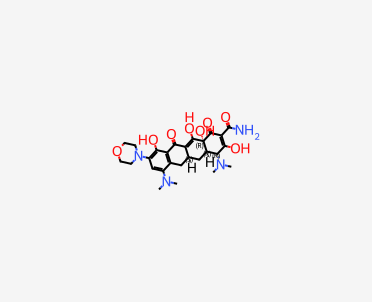 CN(C)c1cc(N2CCOCC2)c(O)c2c1C[C@@H]1C[C@@H]3[C@@H](N(C)C)C(O)=C(C(N)=O)C(=O)[C@]3(O)C(O)=C1C2=O